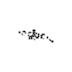 CCCCCC1CCC(C2CC[C@]3(CC2)C(=O)[C@@]2(CC[C@@H](C4CCC(CC)CC4)CC2)C3(Cl)Cl)CC1